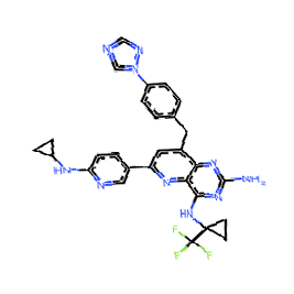 Nc1nc(NC2(C(F)(F)F)CC2)c2nc(-c3ccc(NC4CC4)nc3)cc(Cc3ccc(-n4cncn4)cc3)c2n1